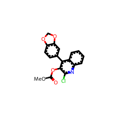 COC(=O)Oc1c(Cl)nc2ccccc2c1-c1ccc2c(c1)OCO2